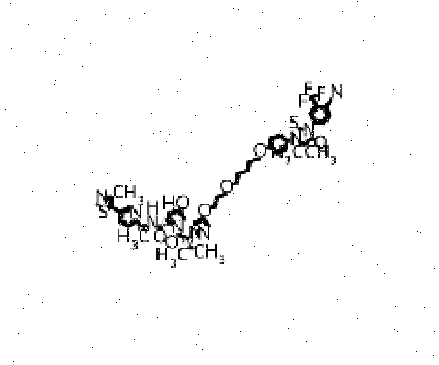 Cc1ncsc1-c1ccc([C@H](C)NC(=O)[C@@H]2C[C@@H](O)CN2C(=O)[C@@H](C(C)C)n2cc(OCCCOCCCCCOc3ccc(N4C(=S)N(c5ccc(C#N)c(C(F)(F)F)c5)C(=O)C4(C)C)cc3)cn2)nc1